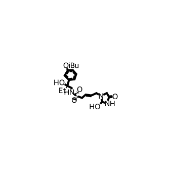 CC[C@@](O)(CNS(=O)(=O)C/C=C/CN1CC(=O)NC1O)c1cccc(OCC(C)C)c1